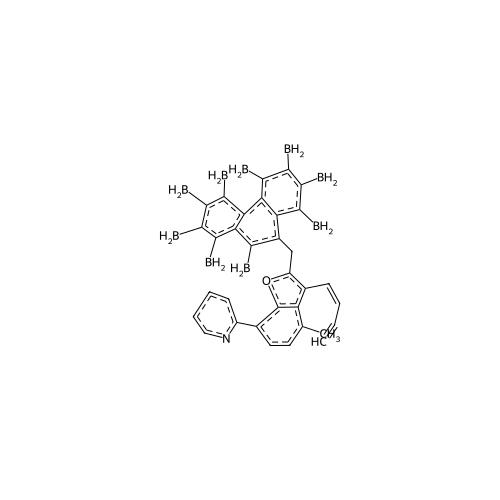 Bc1c(B)c(B)c2c(c1B)c(B)c(Cc1oc3c(-c4ccccn4)ccc(C)c3c1/C=C\C#C)c1c(B)c(B)c(B)c(B)c12